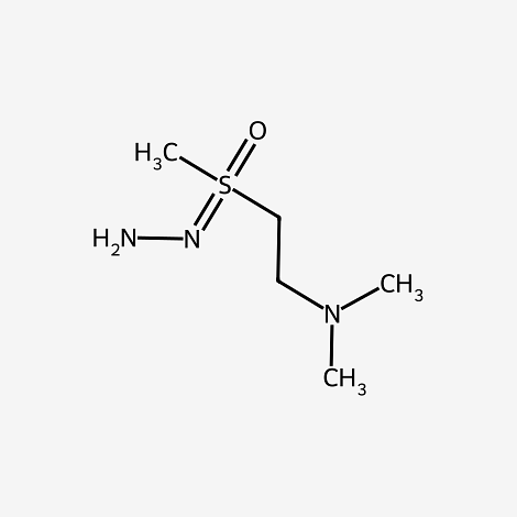 CN(C)CCS(C)(=O)=NN